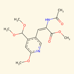 COC(=O)/C(=C\c1cnc(OC)cc1C(OC)OC)NC(C)=O